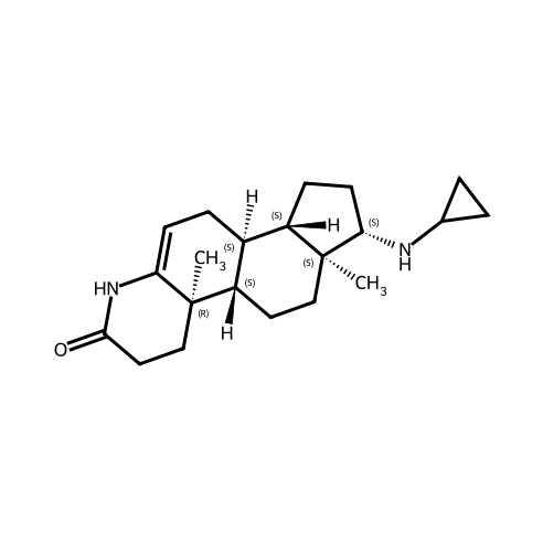 C[C@]12CC[C@H]3[C@@H](CC=C4NC(=O)CC[C@@]43C)[C@@H]1CC[C@@H]2NC1CC1